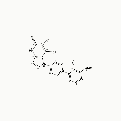 COc1cccc(-c2ccc(-n3ccc4[nH]c(=O)c(C#N)c(O)c43)cc2)c1O